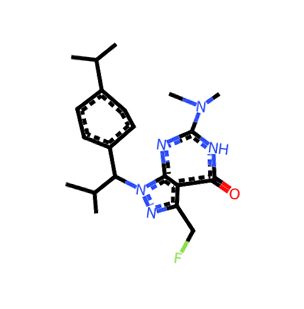 CC(C)c1ccc(C(C(C)C)n2nc(CF)c3c(=O)[nH]c(N(C)C)nc32)cc1